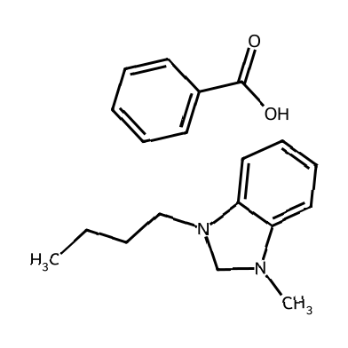 CCCCN1CN(C)c2ccccc21.O=C(O)c1ccccc1